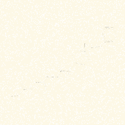 O=C(CBr)NCC(=O)NCC(=O)NC1CCC2(CC1)CC2Cc1ccccc1